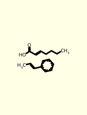 CC=Cc1ccccc1.CCCCC=CC(=O)O